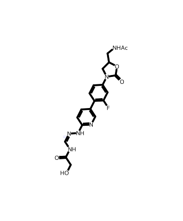 CC(=O)NCC1CN(c2ccc(-c3ccc(N/N=C\NC(=O)CO)nc3)c(F)c2)C(=O)O1